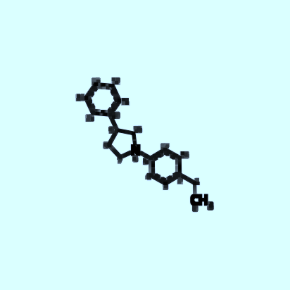 CCc1ccc(N2CCC(c3ccccc3)C2)cc1